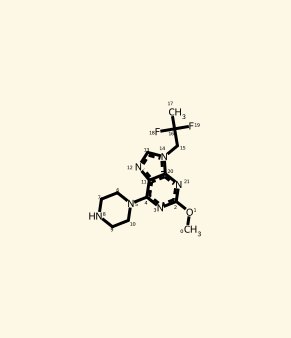 COc1nc(N2CCNCC2)c2ncn(CC(C)(F)F)c2n1